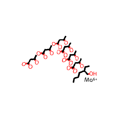 CC(=O)CC(=O)[O-].CC(=O)CC(=O)[O-].CC(=O)CC(=O)[O-].CC(=O)CC(=O)[O-].CC(=O)CC(=O)[O-].CC(=O)CC(=O)[O-].CCCCC(CC)CO.[Mo+6]